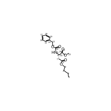 CCCCOC(=O)C[C@H](NC(=O)OCc1ccccc1)C(=O)OC